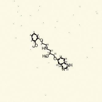 COc1ccccc1OCCNCC(O)COc1ccc2[nH]cnc2c1